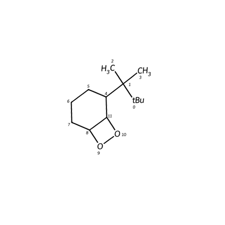 CC(C)(C)C(C)(C)C1CCCC2OOC21